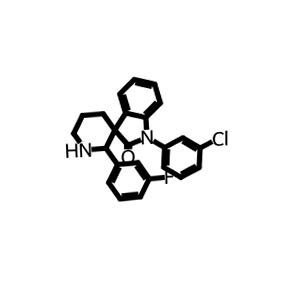 O=C1N(c2cccc(Cl)c2)c2ccccc2C12CCCNC2c1cccc(F)c1